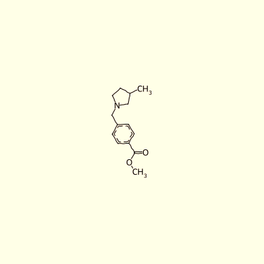 COC(=O)c1ccc(CN2CCC(C)C2)cc1